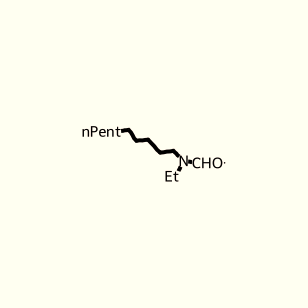 CCCCCCCCCCN([C]=O)CC